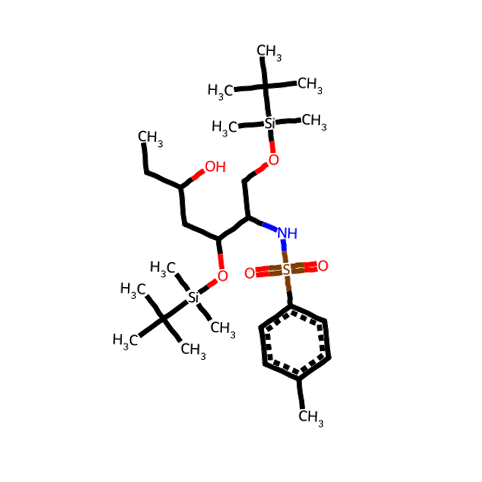 CCC(O)CC(O[Si](C)(C)C(C)(C)C)C(CO[Si](C)(C)C(C)(C)C)NS(=O)(=O)c1ccc(C)cc1